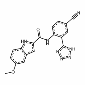 COc1ccc2[nH]c(C(=O)Nc3ccc(C#N)cc3-c3nnn[nH]3)cc2c1